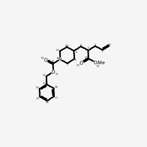 C=CCC(CC1CCN(C(=O)OCc2ccccc2)CC1)C(=O)OC